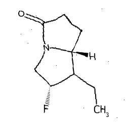 CCC1[C@H](F)CN2C(=O)CC[C@H]12